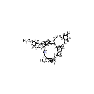 CO[C@]1(CN2C[C@H]3CN(C)C[C@H]3C2)/C=C/C[C@H](C)[C@@H](C)S(=O)(=O)NC(=O)c2ccc3c(c2)N(CCCCc2cc(Cl)ccc2CO3)C[C@@H]2CC[C@H]21